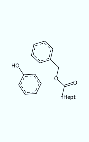 CCCCCCCC(=O)OCc1ccccc1.Oc1ccccc1